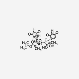 CC(C)OC(=O)[C@@H](C)N[P@](=O)(OCC1OC(n2ccc(=O)[nH]c2=O)[C@](C)(O)[C@@H]1O)SC[C@H]1NC(=O)NC1=O